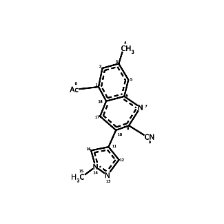 CC(=O)c1cc(C)cc2nc(C#N)c(-c3cnn(C)c3)cc12